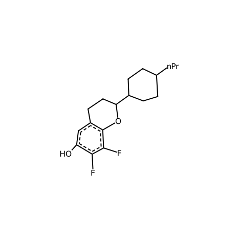 CCCC1CCC(C2CCc3cc(O)c(F)c(F)c3O2)CC1